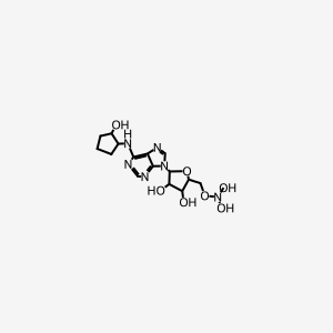 OC1CCCC1Nc1ncnc2c1ncn2C1OC(CON(O)O)C(O)C1O